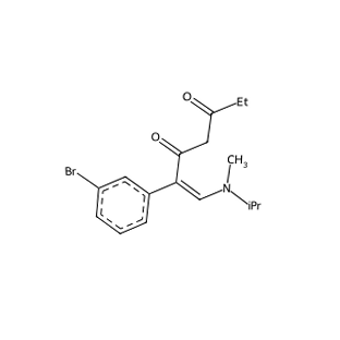 CCC(=O)CC(=O)C(=CN(C)C(C)C)c1cccc(Br)c1